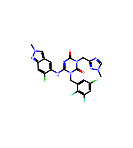 Cn1cnc(Cn2c(=O)nc(Nc3cc4cn(C)nc4cc3Cl)n(Cc3cc(Cl)cc(F)c3F)c2=O)n1